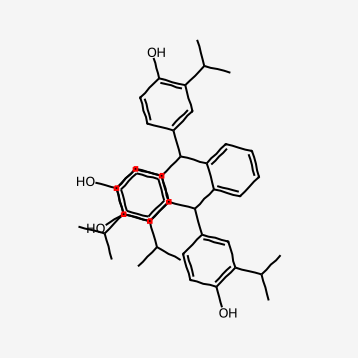 CC(C)c1cc(C(c2ccc(O)c(C(C)C)c2)c2ccccc2C(c2ccc(O)c(C(C)C)c2)c2ccc(O)c(C(C)C)c2)ccc1O